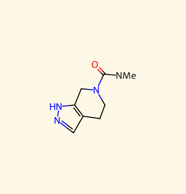 CNC(=O)N1CCc2cn[nH]c2C1